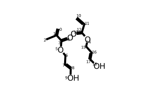 C=C(C)C(=O)OCC=CO.C=CC(=O)OCC=CO